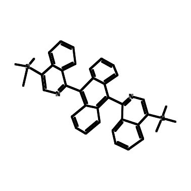 C[Si](C)(C)c1cnc(-c2c3ccccc3c(-c3ncc([Si](C)(C)C)c4ccccc34)c3ccccc23)c2ccccc12